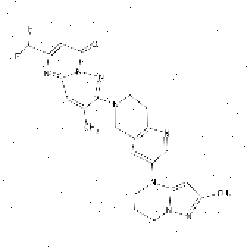 Cc1cc2n(n1)CCCN2c1cnc2c(c1)CN(c1nn3c(=O)cc(C(F)F)nc3cc1C)CC2